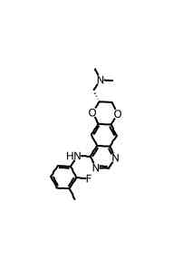 Cc1cccc(Nc2ncnc3cc4c(cc23)O[C@H](CN(C)C)CO4)c1F